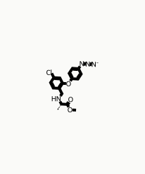 COC(=O)[C@H](C)NCc1ccc(Cl)cc1Oc1ccc(N=[N+]=[N-])cc1